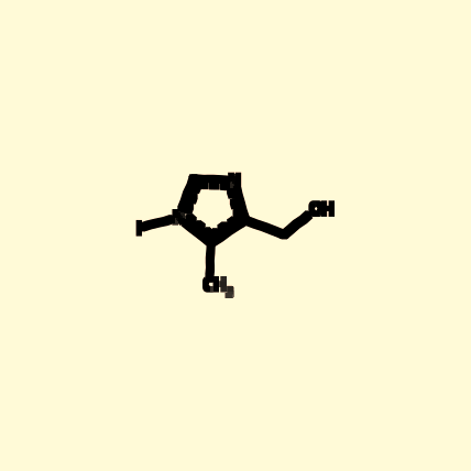 Cc1c(CO)ncn1I